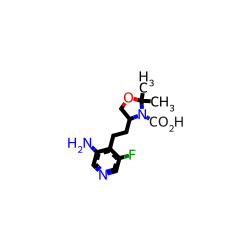 CC1(C)OCC(CCc2c(N)cncc2F)N1C(=O)O